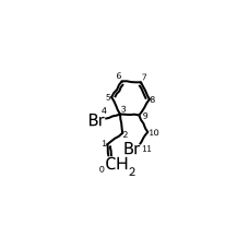 C=CCC1(Br)C=CC=CC1CBr